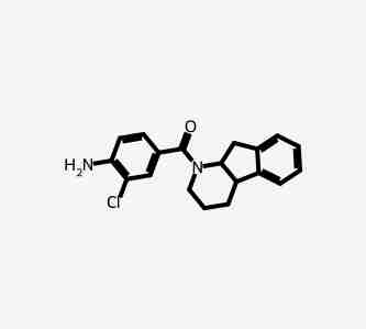 Nc1ccc(C(=O)N2CCCC3c4ccccc4CC32)cc1Cl